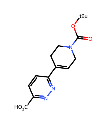 CC(C)(C)OC(=O)N1CC=C(c2ccc(C(=O)O)nn2)CC1